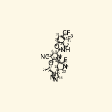 C[C@@H](NC(=O)c1cc(C#N)c(=O)n(-c2cc(-c3cnnn3C3CC3)cnc2F)n1)c1cccc(C(F)(F)F)c1F